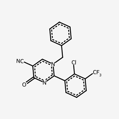 N#Cc1cn(Cc2ccccc2)c(-c2cccc(C(F)(F)F)c2Cl)nc1=O